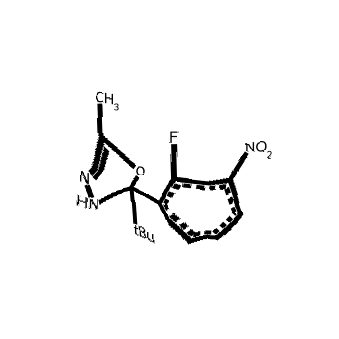 CC1=NNC(c2cccc([N+](=O)[O-])c2F)(C(C)(C)C)O1